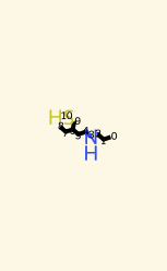 CCCNCCC(CC)CS